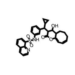 O=C1OC2=CC=CCCCC2C(O)C1C(c1cccc(NS(=O)(=O)c2cccc3cccnc23)c1)C1CC1